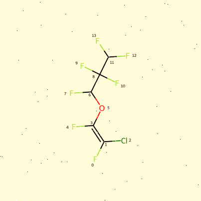 FC(Cl)=C(F)OC(F)C(F)(F)C(F)F